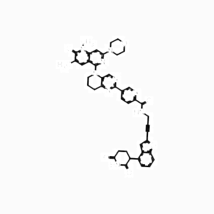 Cc1cc2c(N3CCCc4nc(-c5ccc(C(=O)NCC#Cc6cc7c(C8CCC(=O)NC8=O)cccc7o6)nc5)ncc43)nc(N3CCOCC3)cc2n(C)c1=O